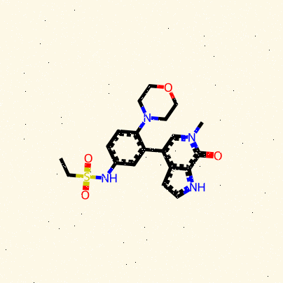 CCS(=O)(=O)Nc1ccc(N2CCOCC2)c(-c2cn(C)c(=O)c3[nH]ccc23)c1